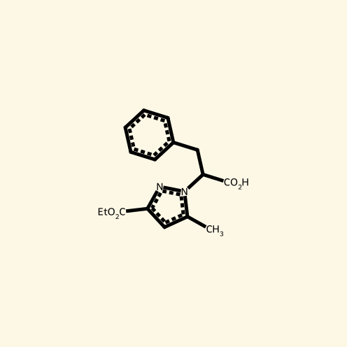 CCOC(=O)c1cc(C)n(C(Cc2ccccc2)C(=O)O)n1